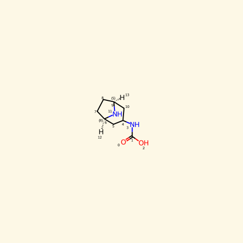 O=C(O)NC1C[C@H]2CC[C@@H](C1)N2